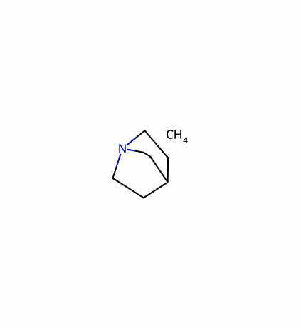 C.C1CN2CCC1CC2